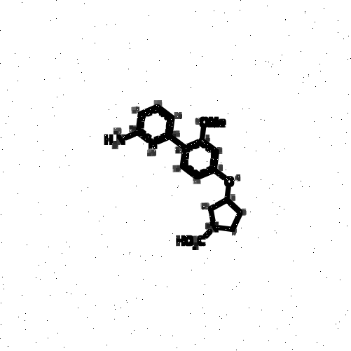 COc1cc(OC2CCN(C(=O)O)C2)ccc1-c1cccc(N)n1